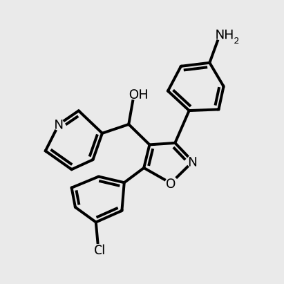 Nc1ccc(-c2noc(-c3cccc(Cl)c3)c2C(O)c2cccnc2)cc1